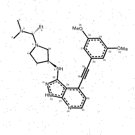 CC[C@@H](N(C)C)N1CC[C@H](Nc2n[nH]c3nccc(C#Cc4cc(OC)cc(OC)c4)c23)C1